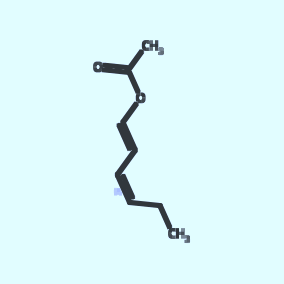 CC/C=C\C=COC(C)=O